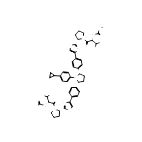 COC(=O)N[C@H](C(=O)N1CCC[C@H]1c1nc(-c2ccc([C@H]3CC[C@H](c4ccc(-c5c[nH]c([C@@H]6CCCN6C(=O)[C@@H](NC(=O)O)C(C)C)n5)cc4)N3c3ccc(C4CC4)cc3)cc2)c[nH]1)C(C)C